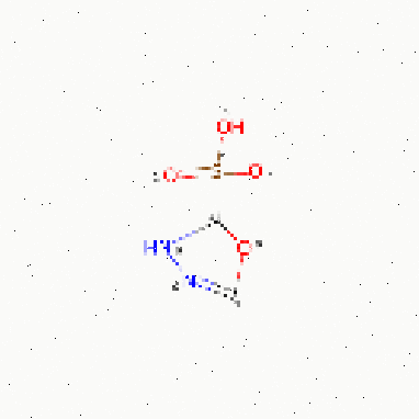 O=S(=O)(O)[C]1NN=CO1